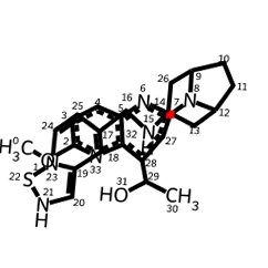 COc1ccc2nc(N3C4CCC3CC(NCC3=CC5=CNSN5C=C3)C4)cc(C(C)O)c2n1